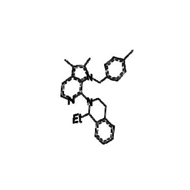 CCC1c2ccccc2CCN1c1nccc2c(C)c(C)n(Cc3ccc(C)cc3)c12